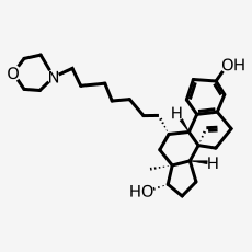 C=C[C@@]12CCc3cc(O)ccc3[C@H]1[C@@H](CCCCCCCN1CCOCC1)C[C@@]1(C)[C@H]2CC[C@@H]1O